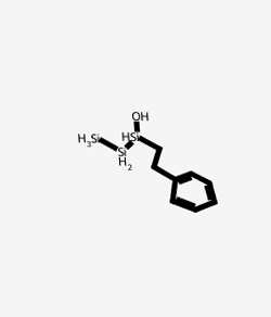 O[SiH](CCc1ccccc1)[SiH2][SiH3]